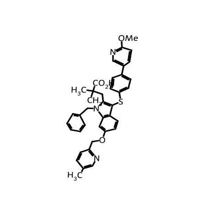 COc1ccc(-c2ccc(Sc3c(CC(C)(C)C(=O)O)n(Cc4ccccc4)c4cc(OCc5ccc(C)cn5)ccc34)cc2)cn1